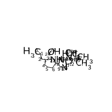 CCC[C@@H]1CCCC(c2cnc3cc(C(C)(C)C)n(C)c3n2)N[C@H]1CO